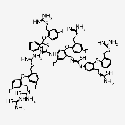 N=C(N)S.N=C(N)SCc1cc(F)ccc1OC(SC(=N)N)c1ccccc1.N=C(N)SCc1cc(F)ccc1Oc1ccc(F)cc1CN=C(N)S.N=C(N)SCc1ccc(F)cc1Oc1ccc(F)cc1CN=C(N)S.N=C(N)SCc1ccccc1Sc1ccccc1CN=C(N)S